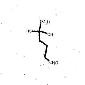 O=CCCCC(O)(O)C(=O)O